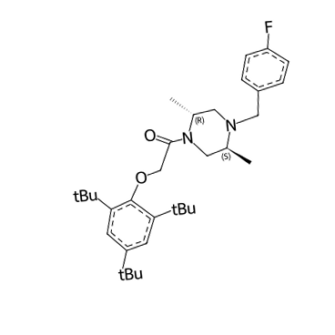 C[C@@H]1CN(Cc2ccc(F)cc2)[C@@H](C)CN1C(=O)COc1c(C(C)(C)C)cc(C(C)(C)C)cc1C(C)(C)C